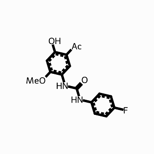 COc1cc(O)c(C(C)=O)cc1NC(=O)Nc1ccc(F)cc1